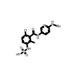 CCCS(=O)(=O)Nc1ccc(Cl)c(C(=O)Nc2ccc(NC(C)CC)nc2)c1F